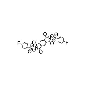 O=c1c2cc3c(=O)n(OS(=O)(=O)c4ccc(F)cc4)c(=O)c3cc2c(=O)n1OS(=O)(=O)c1ccc(F)cc1